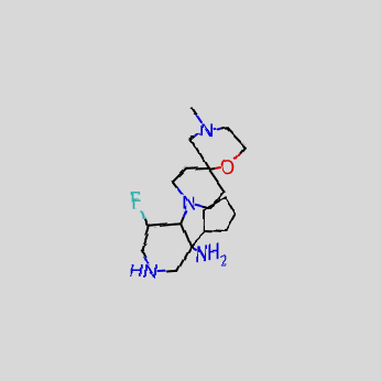 CN1CCOC2(CCN(C3C(F)CNCC3(N)C3CCCC3)CC2)C1